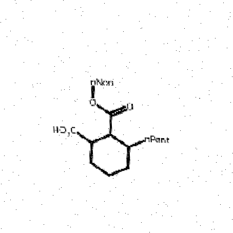 CCCCCCCCCOC(=O)C1C(CCCCC)CCCC1C(=O)O